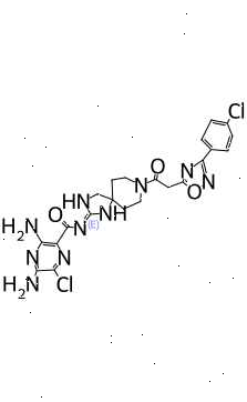 Nc1nc(N)c(C(=O)/N=C2\NCC3(CCN(C(=O)Cc4nc(-c5ccc(Cl)cc5)no4)CC3)N2)nc1Cl